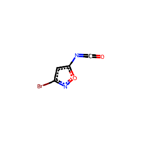 O=C=Nc1cc(Br)no1